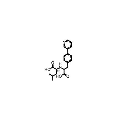 CC(C)C[C@H](NC(Cc1ccc(-c2cccnc2)cc1)C(=O)O)C(=O)O